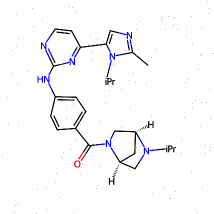 Cc1ncc(-c2ccnc(Nc3ccc(C(=O)N4C[C@@H]5C[C@H]4CN5C(C)C)cc3)n2)n1C(C)C